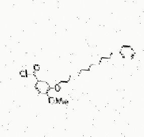 COc1ccc(C(=O)Cl)cc1OCCCCCCCCCCCc1ccccc1